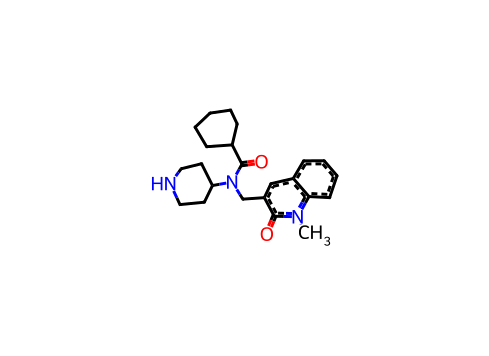 Cn1c(=O)c(CN(C(=O)C2CCCCC2)C2CCNCC2)cc2ccccc21